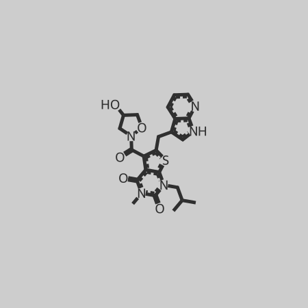 CC(C)Cn1c(=O)n(C)c(=O)c2c(C(=O)N3CC(O)CO3)c(Cc3c[nH]c4ncccc34)sc21